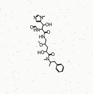 COC(CNC(=O)C(NC=O)C(O)c1cncn1C)CC(O)C(=O)N(C)C(C)Cc1ccccc1